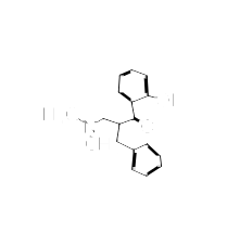 CN(C)CC(Cc1ccccc1)C(=O)c1ccccc1O